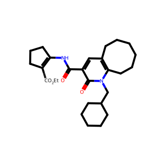 CCOC(=O)C1=C(NC(=O)c2cc3c(n(CC4CCCCC4)c2=O)CCCCCC3)CCC1